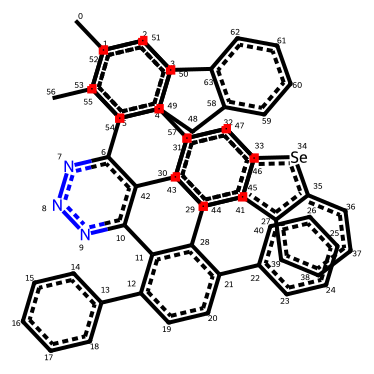 Cc1cc2c(c(-c3nnnc(-c4c(-c5ccccc5)ccc(-c5ccccc5)c4-c4cccc5[se]c6ccccc6c45)c3-c3ccccc3-c3ccccc3)c1C)Cc1ccccc1-2